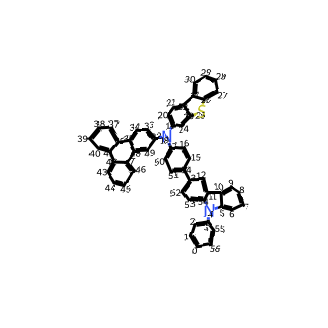 c1ccc(-n2c3ccccc3c3cc(-c4ccc(N(c5ccc6c(c5)sc5ccccc56)c5ccc6c7ccccc7c7ccccc7c6c5)cc4)ccc32)cc1